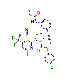 C=CC(=O)Nc1cccc(C#CCN(C(=O)[C@@H]2CCCN2c2nc(C)cc(C(F)(F)F)c2C#N)c2ccc(F)cc2)c1